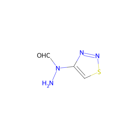 NN(C=O)c1csnn1